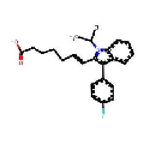 CC(C)n1c(C=CCCCCC(=O)O)c(-c2ccc(F)cc2)c2ccccc21